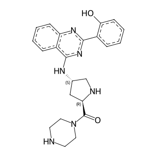 O=C([C@H]1C[C@H](Nc2nc(-c3ccccc3O)nc3ccccc23)CN1)N1CCNCC1